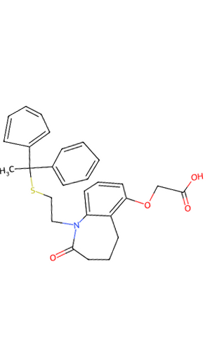 CC(SCCN1C(=O)CCCc2c(OCC(=O)O)cccc21)(c1ccccc1)c1ccccc1